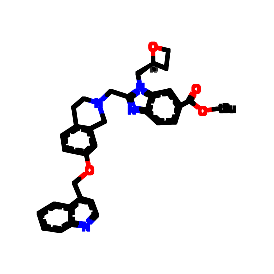 CC(C)(C)OC(=O)c1ccc2nc(CN3CCc4ccc(OCc5ccnc6ccccc56)cc4C3)n(C[C@@H]3CCO3)c2c1